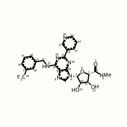 CNC(=O)[C@H]1O[C@@H](n2cnc3c(NCc4cccc(C(F)(F)F)c4)nc(-c4cccnc4)nc32)[C@H](O)[C@@H]1O